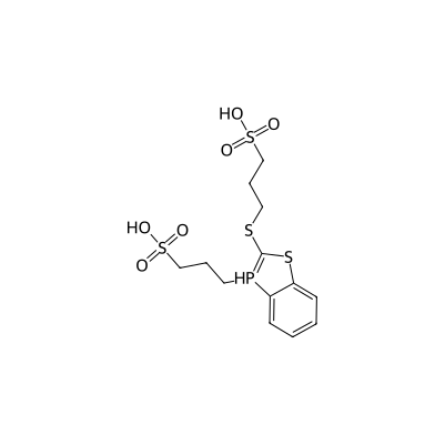 O=S(=O)(O)CCCSC1=[PH](CCCS(=O)(=O)O)c2ccccc2S1